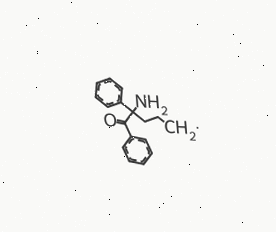 [CH2]CCC(N)(C(=O)c1ccccc1)c1ccccc1